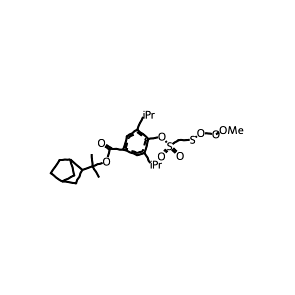 COOOSCS(=O)(=O)Oc1c(C(C)C)cc(C(=O)OC(C)(C)C2CC3CCC2C3)cc1C(C)C